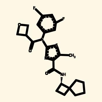 Cc1sc(N(C(=O)C2COC2)c2cc(F)cc(F)c2)nc1C(=O)N[C@H]1CCC12CCCC2